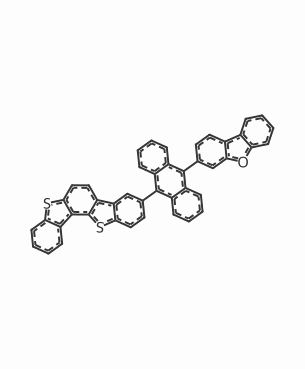 c1ccc2c(c1)oc1cc(-c3c4ccccc4c(-c4ccc5sc6c(ccc7sc8ccccc8c76)c5c4)c4ccccc34)ccc12